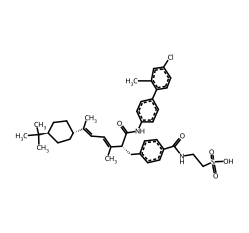 C/C(=C\C=C(/C)[C@H]1CC[C@H](C(C)(C)C)CC1)[C@@H](Cc1ccc(C(=O)NCCS(=O)(=O)O)cc1)C(=O)Nc1ccc(-c2ccc(Cl)cc2C)cc1